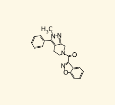 Cn1nc2c(c1-c1ccccc1)CCN(C(=O)c1noc3ccccc13)C2